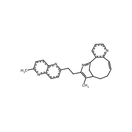 CC1=C(CCc2ccc3nc(C)ccc3n2)N=C2CC1CC/C=C\c1ncccc12